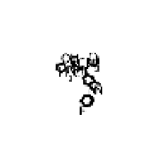 CC(C)(C(=O)NC1CCCC1O)[C@@H](c1ccccc1)c1ccc2c(cnn2-c2ccc(F)cc2)c1